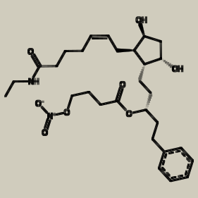 CCNC(=O)CCC/C=C\C[C@@H]1[C@@H](CC[C@H](CCc2ccccc2)OC(=O)CCCO[N+](=O)[O-])[C@@H](O)C[C@@H]1O